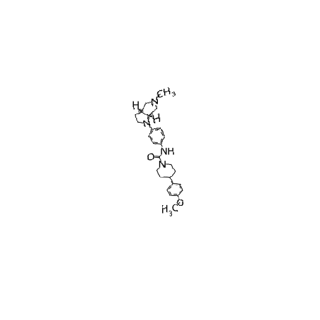 COc1ccc(C2CCN(C(=O)Nc3ccc(N4CC[C@@H]5CN(C)C[C@@H]54)cc3)CC2)cc1